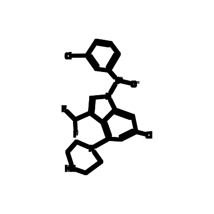 [O-][S+](c1cccc(Cl)c1)n1cc(C(F)F)c2c(N3CCNCC3)cc(Cl)cc21